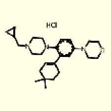 CC1(C)CC=C(c2cc(N3CCOCC3)ccc2N2CCN(CC3CC3)CC2)CC1.Cl